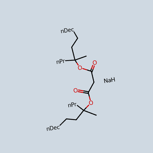 CCCCCCCCCCCCC(C)(CCC)OC(=O)CC(=O)OC(C)(CCC)CCCCCCCCCCCC.[NaH]